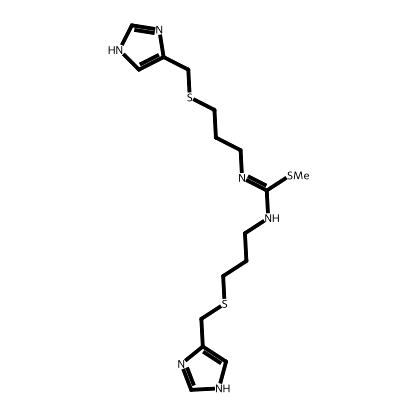 CS/C(=N\CCCSCc1c[nH]cn1)NCCCSCc1c[nH]cn1